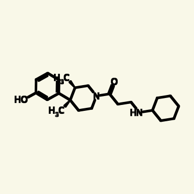 C[C@H]1CN(C(=O)CCNC2CCCCC2)CC[C@]1(C)c1cccc(O)c1